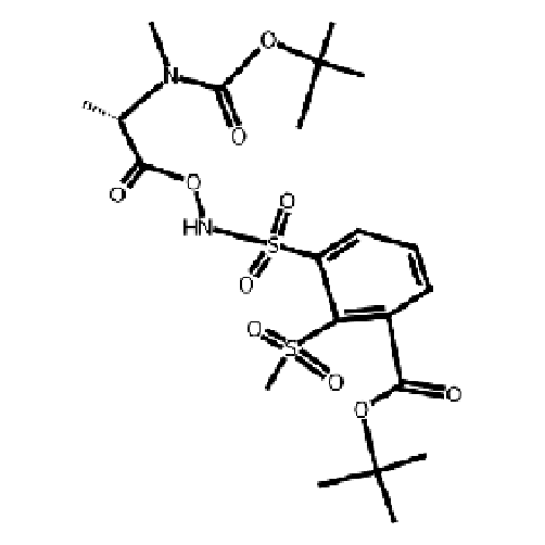 C[C@@H](C(=O)ONS(=O)(=O)c1cccc(C(=O)OC(C)(C)C)c1S(C)(=O)=O)N(C)C(=O)OC(C)(C)C